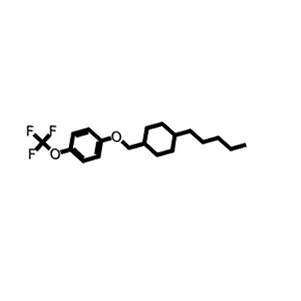 CCCCCC1CCC(COc2ccc(OC(F)(F)F)cc2)CC1